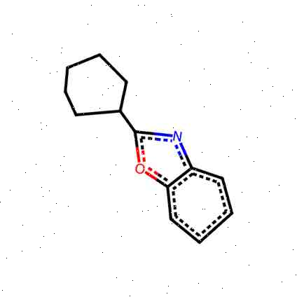 c1ccc2oc(C3CCCCC3)nc2c1